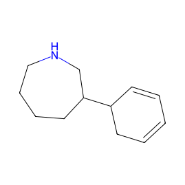 C1=CCC(C2CCCCNC2)C=C1